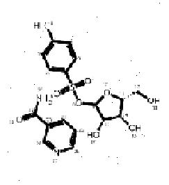 Cc1ccc(S(=O)(=O)OC2O[C@H](CO)[C@@H](O)[C@H]2O)cc1.NC(=O)c1cccnc1